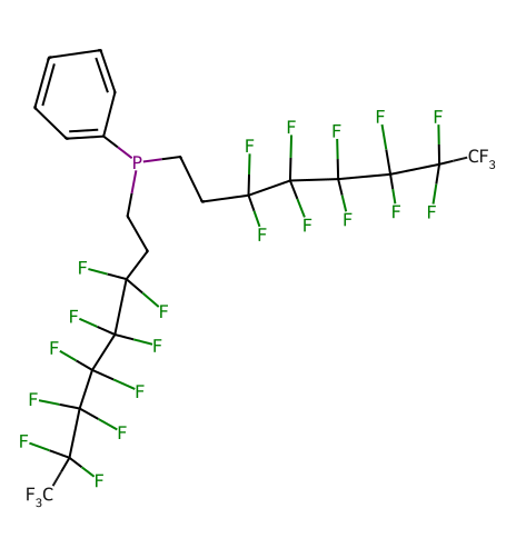 FC(F)(F)C(F)(F)C(F)(F)C(F)(F)C(F)(F)C(F)(F)CCP(CCC(F)(F)C(F)(F)C(F)(F)C(F)(F)C(F)(F)C(F)(F)F)c1ccccc1